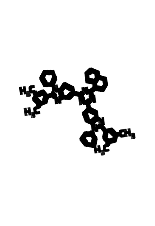 Cc1cc(C)cc(-c2nc3cc(-c4nc(-c5ccc6c(c5)nc(-c5cc(C)cc(C)c5)n6-c5ccccc5)nc(-c5cccc6ccccc56)n4)ccc3n2-c2ccccc2)c1